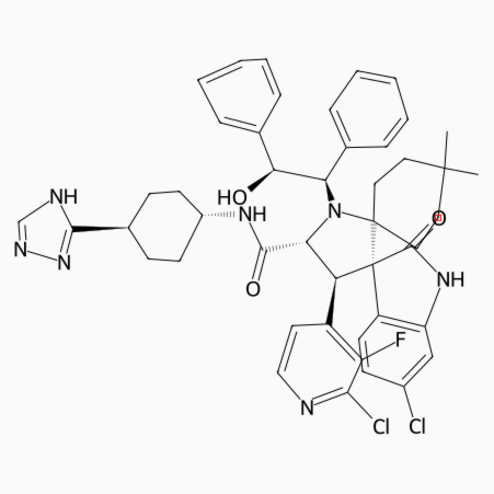 CC1(C)CCC2(CC1)N([C@H](c1ccccc1)[C@@H](O)c1ccccc1)[C@@H](C(=O)N[C@H]1CC[C@H](c3nnc[nH]3)CC1)[C@H](c1ccnc(Cl)c1F)[C@]21C(=O)Nc2cc(Cl)ccc21